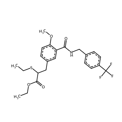 CCOC(=O)C(Cc1ccc(OC)c(C(=O)NCc2ccc(C(F)(F)F)cc2)c1)SCC